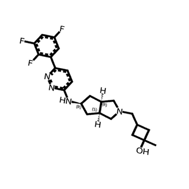 CC1(O)CC(CN2C[C@H]3C[C@@H](Nc4ccc(-c5cc(F)cc(F)c5F)nn4)C[C@H]3C2)C1